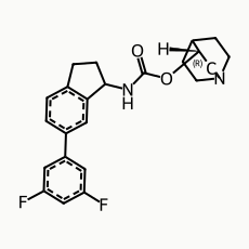 O=C(NC1CCc2ccc(-c3cc(F)cc(F)c3)cc21)O[C@H]1CN2CCC1CC2